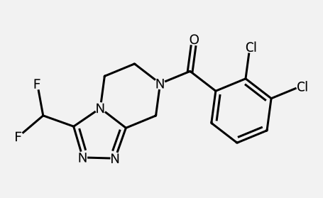 O=C(c1cccc(Cl)c1Cl)N1CCn2c(nnc2C(F)F)C1